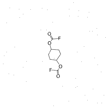 O=C(F)OC1CCC(OC(=O)F)CC1